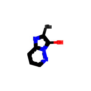 CC(C)(C)c1nc2cccnn2c1O